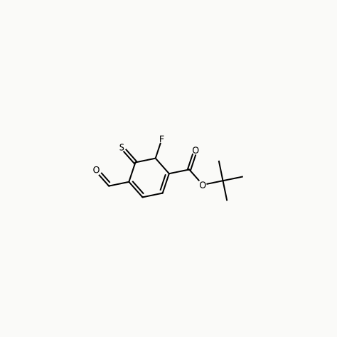 CC(C)(C)OC(=O)C1=CC=C(C=O)C(=S)C1F